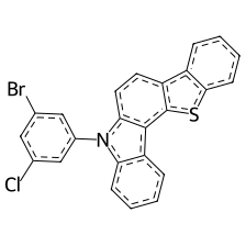 Clc1cc(Br)cc(-n2c3ccccc3c3c4sc5ccccc5c4ccc32)c1